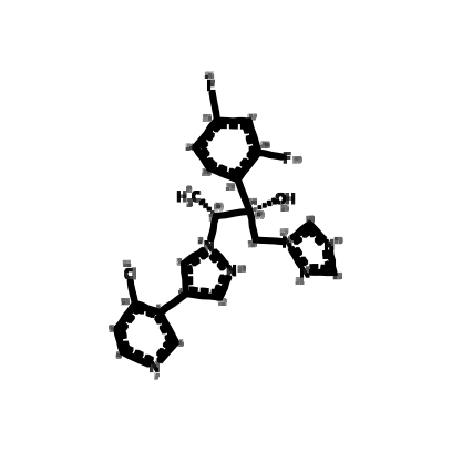 C[C@@H](n1cc(-c2cnccc2Cl)cn1)[C@](O)(Cn1cncn1)c1ccc(F)cc1F